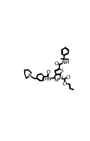 CCCOC(=O)n1nc(NC(=O)c2ccc(CN3CCCCC3)cc2)c2cc(C(=O)NC(C)(C)c3ccccc3)sc21